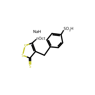 CCCCCCCCc1ssc(=S)c1Cc1ccc(S(=O)(=O)O)cc1.[NaH]